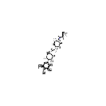 CC/C=C/[C@H]1CC[C@H](CC[C@H]2CC[C@H](c3cc(F)c(F)c(F)c3)CC2)CC1